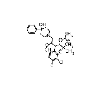 COC(CN1CCC(O)(c2ccccc2)CC1)C(c1ccc(Cl)c(Cl)c1)C(OC(N)=O)C(C)(C)C